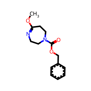 COC1=NCCN(C(=O)OCc2ccccc2)CC1